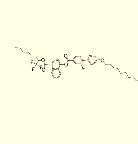 CCCCCCCCCCOc1ccc(-c2ccc(C(=O)Oc3ccc(C(=O)OC(CCCCCC)C(F)(F)F)c4ccccc34)cc2F)cc1